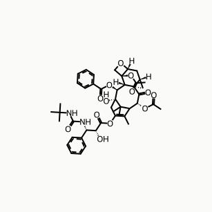 CC(=O)O[C@H]1C(=O)[C@]23C[C@H]2C[C@H]2OC[C@@]2(OC(C)=O)[C@H]3[C@H](OC(=O)c2ccccc2)[C@]2(O)CC(OC(=O)[C@H](O)[C@@H](NC(=O)NC(C)(C)C)c3ccccc3)=C(C)C1C2(C)C